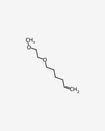 C=CCCCCOCCOC